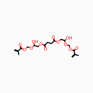 C=C(C)C(=O)OCOC(O)COC(=O)CCC(=O)OCC(O)OCOC(=O)C(=C)C